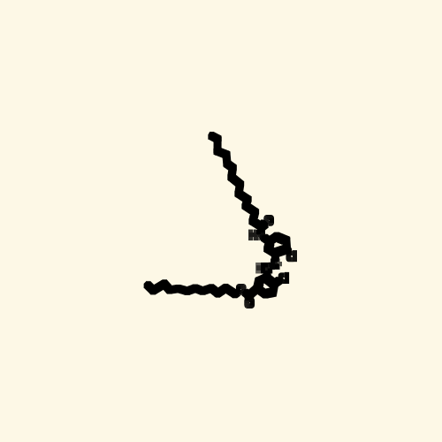 CCCCCCCCCCCCCC(=O)Nc1ccc(Cl)c([N]Nc2cc(C(=O)OCCCCCCCCCCCC)ccc2Cl)c1